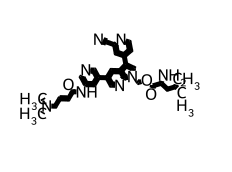 CC(C)CC(N)C(=O)OCn1cc(-c2ccnc(C#N)c2)c2cc(-c3cncc(NC(=O)C=CCN(C)C)c3)cnc21